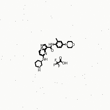 Cc1cc(N2CCOCC2)ccc1NC(=O)c1cnn2ccc(N[C@@H]3CCCNC3)nc12.O=C(O)C(F)(F)F